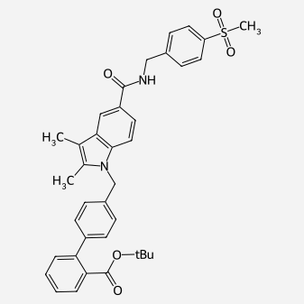 Cc1c(C)n(Cc2ccc(-c3ccccc3C(=O)OC(C)(C)C)cc2)c2ccc(C(=O)NCc3ccc(S(C)(=O)=O)cc3)cc12